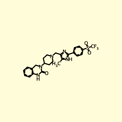 Cc1[nH]c(-c2ccc(S(=O)(=O)C(F)(F)F)cc2)nc1CN1CCC(N2Cc3ccccc3NC2=O)CC1